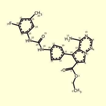 CCOC(=O)c1cn2ncnc(N)c2c1-c1ccc(NC(=O)Nc2cc(C)cc(F)c2)cc1